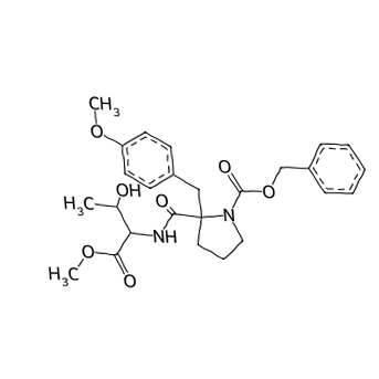 COC(=O)C(NC(=O)C1(Cc2ccc(OC)cc2)CCCN1C(=O)OCc1ccccc1)C(C)O